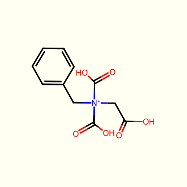 O=C(O)C[N+](Cc1ccccc1)(C(=O)O)C(=O)O